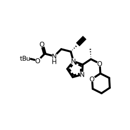 C#C[C@@H](CNC(=O)OC(C)(C)C)n1ccnc1[C@H](C)OC1CCCCO1